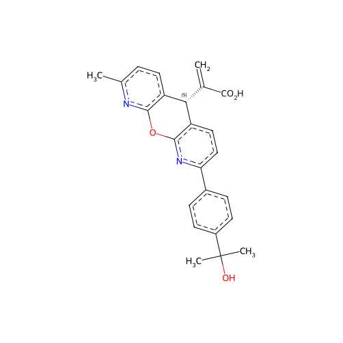 C=C(C(=O)O)[C@H]1c2ccc(C)nc2Oc2nc(-c3ccc(C(C)(C)O)cc3)ccc21